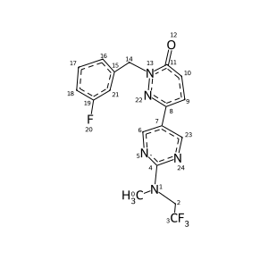 CN(CC(F)(F)F)c1ncc(-c2ccc(=O)n(Cc3cccc(F)c3)n2)cn1